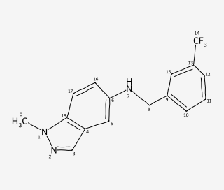 Cn1ncc2cc(NCc3cccc(C(F)(F)F)c3)ccc21